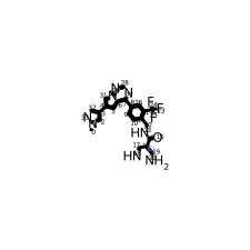 Cn1cc(-c2cc3c(-c4ccc(CNC(=O)/C(C=N)=C/N)c(C(F)(F)F)c4)ncnn3c2)cn1